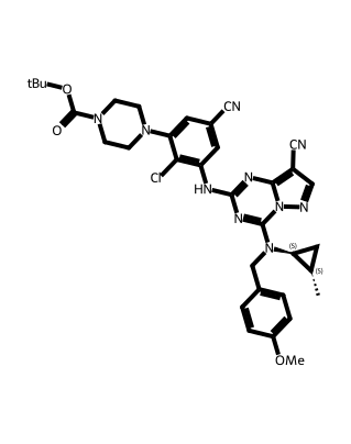 COc1ccc(CN(c2nc(Nc3cc(C#N)cc(N4CCN(C(=O)OC(C)(C)C)CC4)c3Cl)nc3c(C#N)cnn23)[C@H]2C[C@@H]2C)cc1